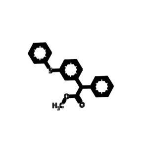 COC(=O)C(c1ccccc1)c1cccc(Sc2ccccc2)c1